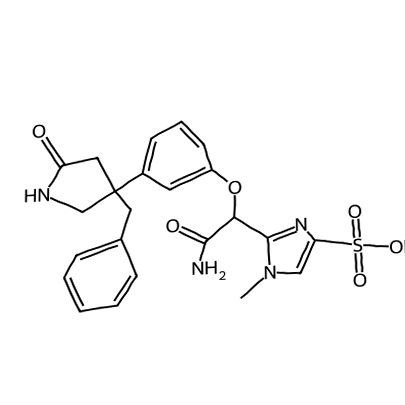 Cn1cc(S(=O)(=O)O)nc1C(Oc1cccc(C2(Cc3ccccc3)CNC(=O)C2)c1)C(N)=O